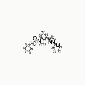 O=C(OCc1ccccc1)N1CCc2c(-c3ccn(C4CCCCO4)n3)cccc21